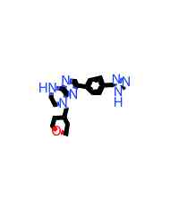 c1nnc(-c2ccc(-c3cnc4c(n3)N(CC3CCOCC3)CCN4)cc2)[nH]1